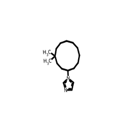 CC1(C)CCCCCCCCC(n2ccnc2)CC1